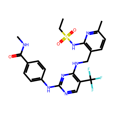 CCS(=O)(=O)Nc1nc(C)ccc1CNc1nc(Nc2ccc(C(=O)NC)cc2)ncc1C(F)(F)F